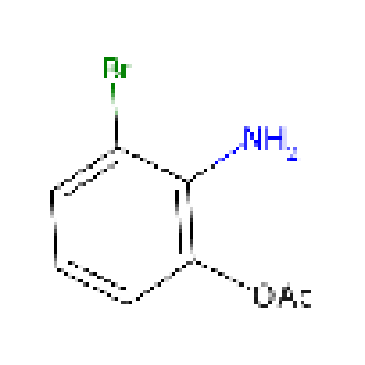 CC(=O)Oc1cccc(Br)c1N